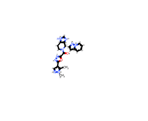 Cc1c(-c2nnc(C(=O)N3CCc4[nH]cnc4[C@@H]3c3cc4ccccn4n3)o2)cnn1C